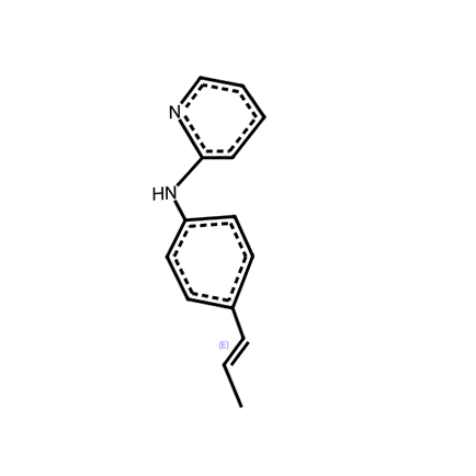 C/C=C/c1ccc(Nc2ccccn2)cc1